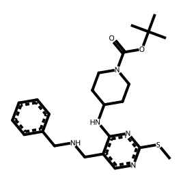 CSc1ncc(CNCc2ccccc2)c(NC2CCN(C(=O)OC(C)(C)C)CC2)n1